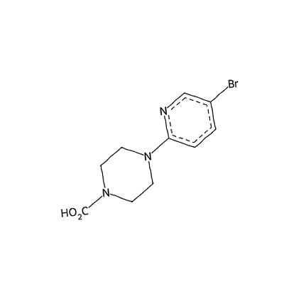 O=C(O)N1CCN(c2ccc(Br)cn2)CC1